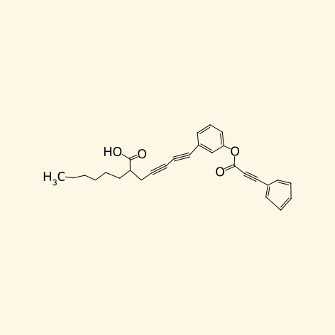 CCCCCCC(CC#CC#Cc1cccc(OC(=O)C#Cc2ccccc2)c1)C(=O)O